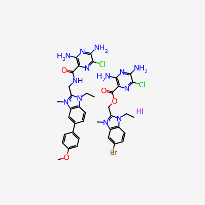 CCn1c(CNC(=O)c2nc(Cl)c(N)nc2N)[n+](C)c2cc(-c3ccc(OC)cc3)ccc21.CCn1c(COC(=O)c2nc(Cl)c(N)nc2N)[n+](C)c2cc(Br)ccc21.I